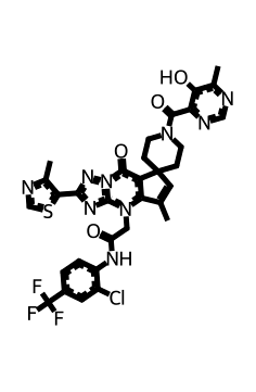 CC1=CC2(CCN(C(=O)c3ncnc(C)c3O)CC2)c2c1n(CC(=O)Nc1ccc(C(F)(F)F)cc1Cl)c1nc(-c3scnc3C)nn1c2=O